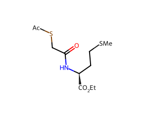 CCOC(=O)[C@H](CCSC)NC(=O)CSC(C)=O